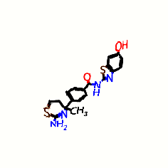 CC1(c2ccc(C(=O)Nc3nc4ccc(O)cc4s3)cc2)CCSC(N)=N1